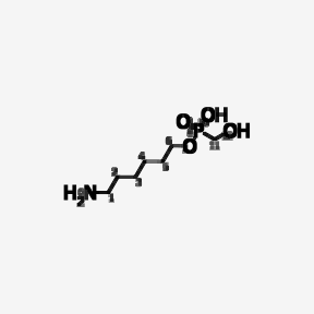 NCCCCCCOP(=O)(O)CO